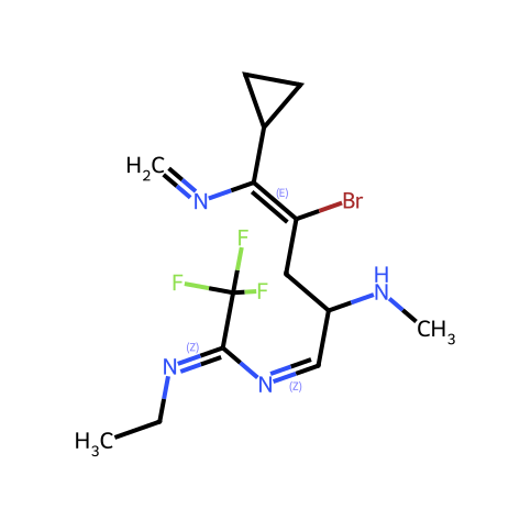 C=N/C(=C(/Br)CC(/C=N\C(=N/CC)C(F)(F)F)NC)C1CC1